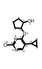 OC1CCCC1Oc1nc(Cl)ncc1C1CC1